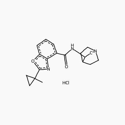 CC1(c2nc3c(C(=O)NC4CN5CCC4CC5)cccc3o2)CC1.Cl